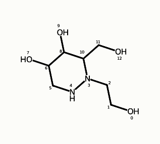 OCCN1NCC(O)C(O)C1CO